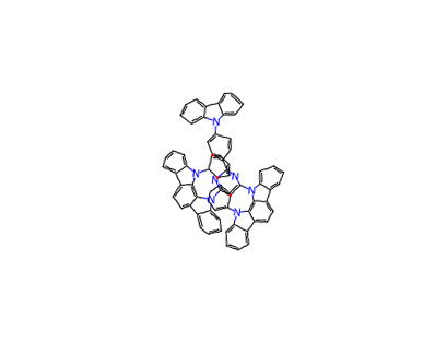 C1=CCC(n2c3ccccc3c3ccc4c5ccccc5n(-c5cc(-n6c7ccccc7c7ccc8c9ccccc9n(C9=CCCC=C9)c8c76)nc(-c6ccc(-n7c8ccccc8c8ccccc87)cc6)n5)c4c32)C=C1